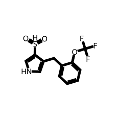 O=[SH](=O)c1c[nH]cc1Cc1ccccc1OC(F)(F)F